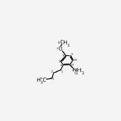 CCCCc1cc(OC)ccc1N